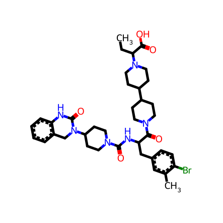 CCC(C(=O)O)N1CCC(C2CCN(C(=O)C(Cc3ccc(Br)c(C)c3)NC(=O)N3CCC(N4Cc5ccccc5NC4=O)CC3)CC2)CC1